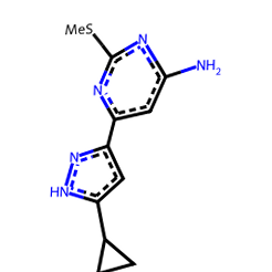 CSc1nc(N)cc(-c2cc(C3CC3)[nH]n2)n1